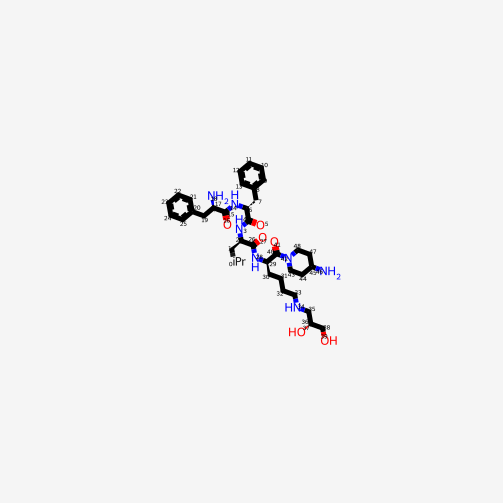 CC(C)C[C@@H](NC(=O)[C@@H](Cc1ccccc1)NC(=O)[C@H](N)Cc1ccccc1)C(=O)N[C@H](CCCCNC[C@@H](O)CO)C(=O)N1CCC(N)CC1